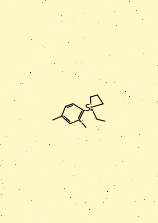 CC[Si]1(c2ccc(C)cc2C)CCC1